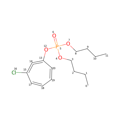 CCCCOP(=O)(OCCCC)OC1=C=C(Cl)C=CC=C1